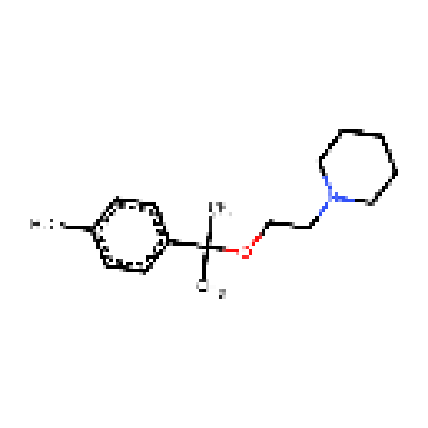 Cc1ccc(C(C)(OCCN2CCCCC2)C(F)(F)F)cc1